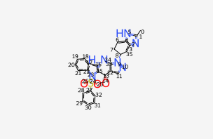 Cc1nc2c([nH]1)=CCC(n1ncc(C(=O)c3cc4ccccc4n3S(=O)(=O)c3ccccc3)c1N)C=2